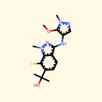 COc1c(Nc2nn(C)c3c(F)c(C(C)(C)O)ccc23)cnn1C